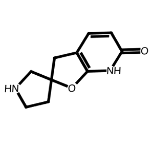 O=c1ccc2c([nH]1)OC1(CCNC1)C2